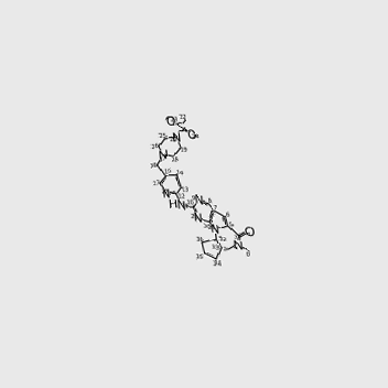 CN(C)C(=O)c1cc2cnc(Nc3ccc(CN4CCN(S(C)(=O)=O)CC4)cn3)nc2n1C1CCCC1